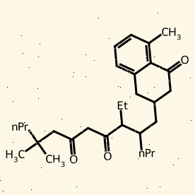 CCCC(CC1CC(=O)c2c(C)cccc2C1)C(CC)C(=O)CC(=O)CC(C)(C)CCC